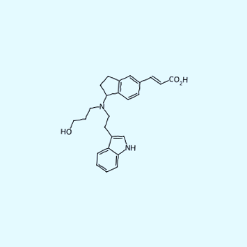 O=C(O)C=Cc1ccc2c(c1)CCC2N(CCCO)CCc1c[nH]c2ccccc12